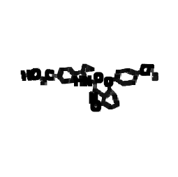 O=C(O)c1ccc(C2(NC(=O)c3noc4cccc(Oc5ccc(C(F)(F)F)cc5)c34)CC2)cc1